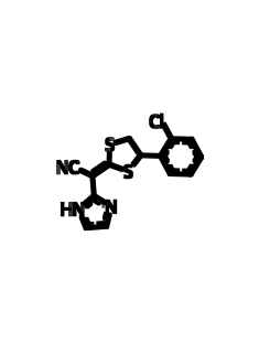 N#CC(=C1SCC(c2ccccc2Cl)S1)c1ncc[nH]1